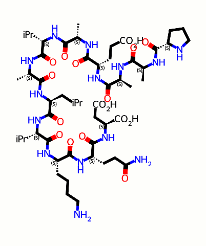 CC(C)C[C@H](NC(=O)[C@H](C)NC(=O)[C@@H](NC(=O)[C@H](C)NC(=O)[C@H](CCC(=O)O)NC(=O)[C@H](C)NC(=O)[C@H](C)NC(=O)[C@@H]1CCCN1)C(C)C)C(=O)N[C@H](C(=O)N[C@@H](CCCCN)C(=O)N[C@@H](CCC(N)=O)C(=O)N[C@@H](CC(=O)O)C(=O)O)C(C)C